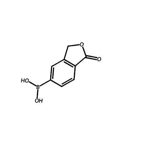 O=C1OCc2cc(B(O)O)ccc21